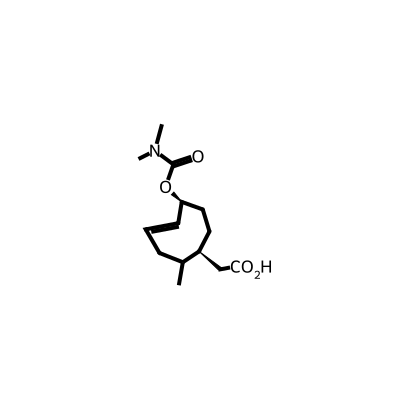 CC1C/C=C/[C@@H](OC(=O)N(C)C)CC[C@H]1CC(=O)O